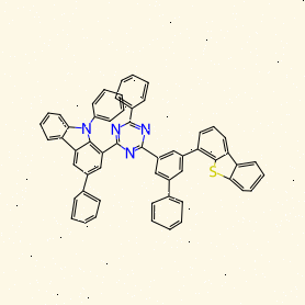 c1ccc(-c2cc(-c3nc(-c4ccccc4)nc(-c4cc(-c5ccccc5)cc5c6ccccc6n(-c6ccccc6)c45)n3)cc(-c3cccc4c3sc3ccccc34)c2)cc1